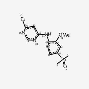 COc1cc(P(C)(C)=O)ccc1Nc1cc(Cl)ncn1